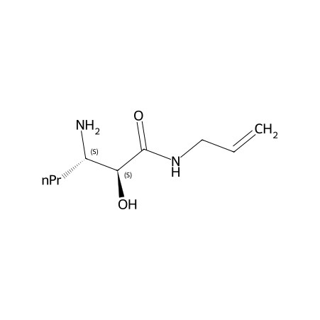 C=CCNC(=O)[C@@H](O)[C@@H](N)CCC